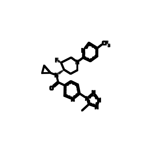 Cc1nnnn1-c1ccc(C(=O)N(C2CC2)[C@H]2CCN(c3ccc(C(F)(F)F)cn3)C[C@H]2F)cn1